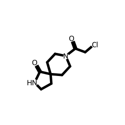 O=C(CCl)N1CCC2(CCNC2=O)CC1